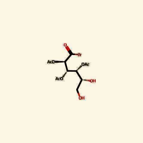 CC(=O)O[C@@H]([C@H](OC(C)=O)[C@@H](OC(C)=O)C(=O)Br)[C@H](O)CO